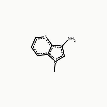 Cn1cc(N)c2ncccc21